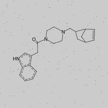 O=C(Cc1c[nH]c2ccccc12)N1CCN(CC2CC3C=CC2C3)CC1